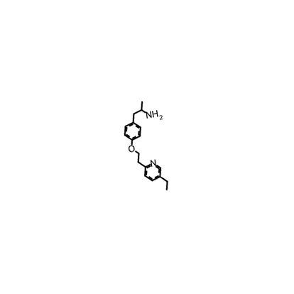 CCc1ccc(CCOc2ccc(CC(C)N)cc2)nc1